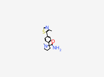 Cc1ncsc1-c1ccc(C2(C(N)=O)CCCN2C)cc1